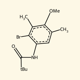 COc1c(C)cc(NC(=O)C(C)(C)C)c(Br)c1C